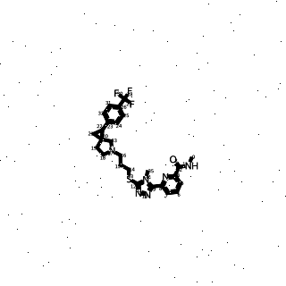 CNC(=O)c1cccc(-c2nnc(SCCCN3CCC4(CC4c4ccc(C(F)(F)F)cc4)C3)n2C)n1